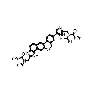 CCCC(=O)N(CCC)Cc1nc2ccc3cc4c(cc3c2[nH]1)OCc1cc(-c2cnc(CN(C(=O)CCC)C(CC)CC)[nH]2)ccc1-4